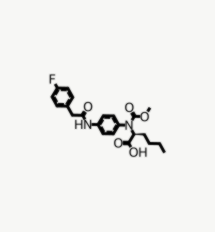 CCCC[C@@H](C(=O)O)N(C(=O)OC)c1ccc(NC(=O)Cc2ccc(F)cc2)cc1